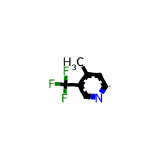 Cc1c[c]ncc1C(F)(F)F